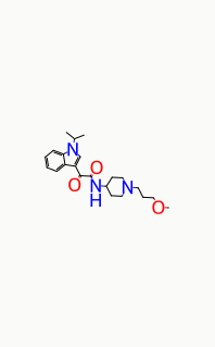 COCCCN1CCC(NC(=O)C(=O)c2cn(C(C)C)c3ccccc23)CC1